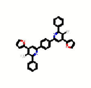 FC(F)(F)c1c(-c2ccco2)cc(-c2ccc(-c3cc(-c4ccco4)c(C(F)(F)F)c(-c4ccccc4)n3)cc2)nc1-c1ccccc1